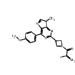 C=C(F)C(=O)N1CC(c2nc(-c3ccc(OC(F)(F)F)cc3)c3ncn(C)c3n2)C1